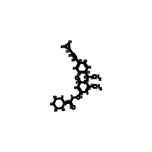 Cc1cc(OCC(=O)N2CCCCC2)cc(=O)n1[C@H](C)c1ccc(C#CC2CC2)cc1